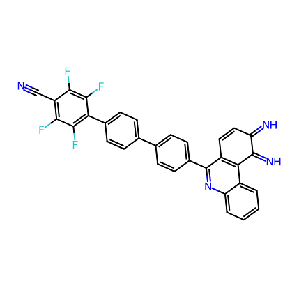 N#Cc1c(F)c(F)c(-c2ccc(-c3ccc(-c4nc5ccccc5c5c4C=CC(=N)C5=N)cc3)cc2)c(F)c1F